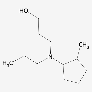 CCCN(CCCO)C1CCCC1C